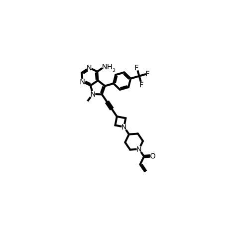 C=CC(=O)N1CCC(N2CC(C#Cc3c(-c4ccc(C(F)(F)F)cc4)c4c(N)ncnc4n3C)C2)CC1